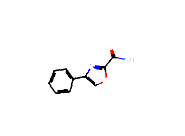 NC(=O)c1nc(-c2ccccc2)co1